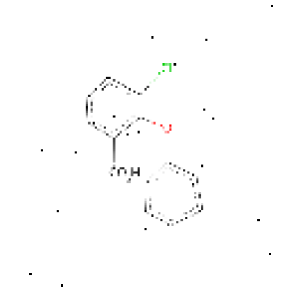 O=C(O)c1cccc(Cl)c1Oc1ccccc1